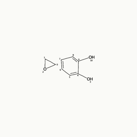 C1CO1.Oc1ccccc1O